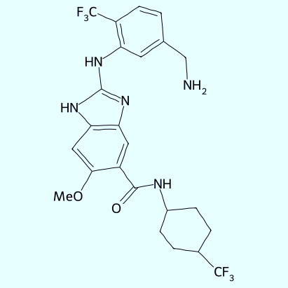 COc1cc2[nH]c(Nc3cc(CN)ccc3C(F)(F)F)nc2cc1C(=O)NC1CCC(C(F)(F)F)CC1